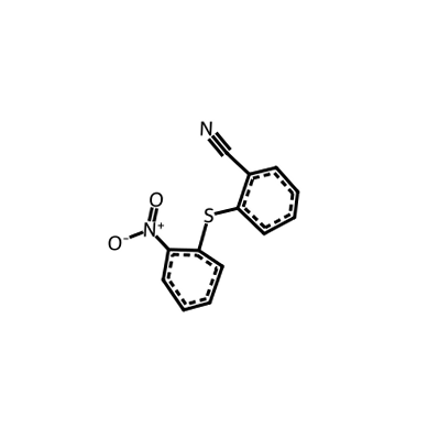 N#Cc1ccccc1Sc1ccccc1[N+](=O)[O-]